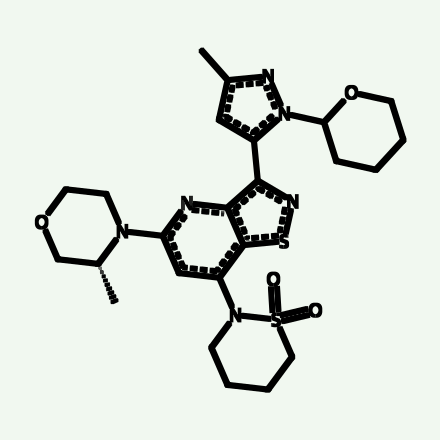 Cc1cc(-c2nsc3c(N4CCCCS4(=O)=O)cc(N4CCOC[C@H]4C)nc23)n(C2CCCCO2)n1